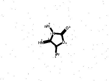 CCCN1C(=N)C(C(C)C)OC1=O